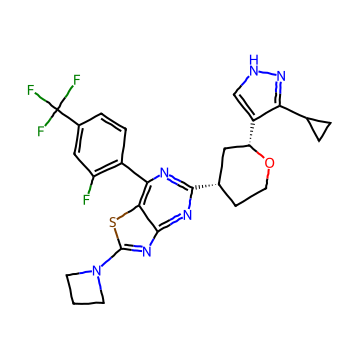 Fc1cc(C(F)(F)F)ccc1-c1nc([C@H]2CCO[C@@H](c3c[nH]nc3C3CC3)C2)nc2nc(N3CCC3)sc12